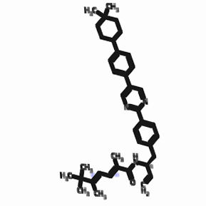 C=C[C@H](Cc1ccc(-c2ncc(-c3ccc(C4CCC(C)(C)CC4)cc3)cn2)cc1)NC(=O)/C(C)=C/C=C(\C)C(C)(C)C